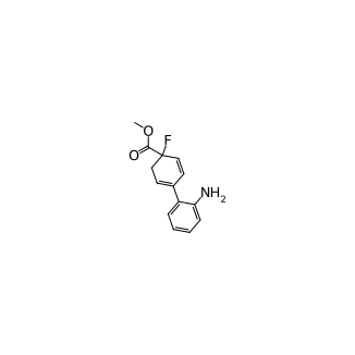 COC(=O)C1(F)C=CC(c2ccccc2N)=CC1